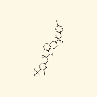 Cc1ccc2c(c1NC(=O)Cc1ccc(C(F)(F)F)c(F)c1)CCN(S(=O)(=O)Cc1ccc(F)cc1)C2